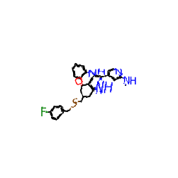 CNc1cc(-c2[nH]c3c(c2Nc2ccccc2)C(=O)CC(CSCc2ccc(F)cc2)C3)ccn1